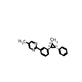 Cc1cnc(-c2cccc([C@H]3[C@H](C)[C@@H]3c3ccccc3)c2)nc1